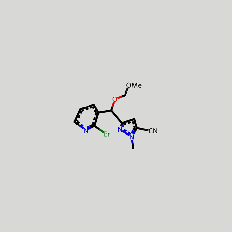 COCOC(c1cc(C#N)n(C)n1)c1cccnc1Br